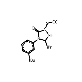 CC(C)C1NN(SC(Cl)(Cl)Cl)C(=O)N1c1cccc(C(C)(C)C)c1